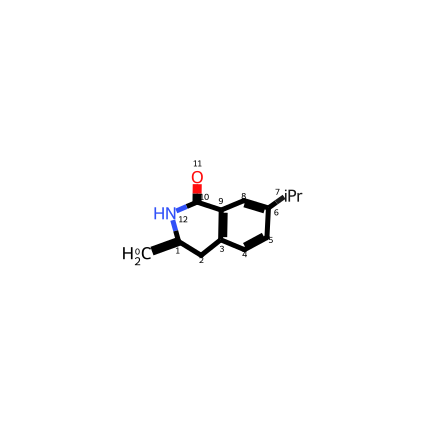 C=C1Cc2ccc(C(C)C)cc2C(=O)N1